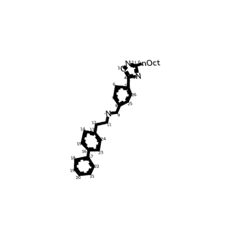 CCCCCCCCc1noc(-c2ccc(C[N]CCc3ccc(-c4ccccc4)cc3)cc2)n1